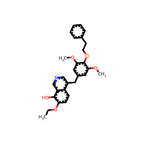 CCOc1ccc2c(Cc3cc(OC)c(OCCc4ccccc4)c(OC)c3)cncc2c1O